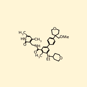 CCN(c1cc(-c2ccc(C3(COC)CCOCC3)cc2)cc(C(=O)NCc2c(C)cc(C)[nH]c2=O)c1C)C1CCOCC1